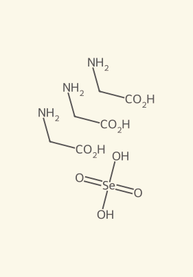 NCC(=O)O.NCC(=O)O.NCC(=O)O.O=[Se](=O)(O)O